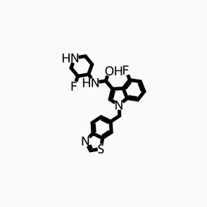 OC(NC1CCNCC1F)c1cn(Cc2ccc3ncsc3c2)c2cccc(F)c12